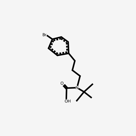 CC(C)(C)N(CCCc1ccc(Br)cc1)C(=O)O